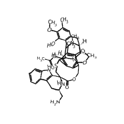 COc1c(C)cc2c(c1O)C1[C@@H]3[C@@H]4SC[C@]5(N[C@@H](CN)Cc6c5[nH]c5ccccc65)C(=O)OCC(c5c6c(c(C)c(OC(C)=O)c54)OCO6)N3[C@@H](C)[C@H](C2)N1C